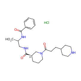 Cl.O=C(NC(CNC(=O)[C@@H]1CCCN(C(=O)CCC2CCNCC2)C1)C(=O)O)c1ccccc1